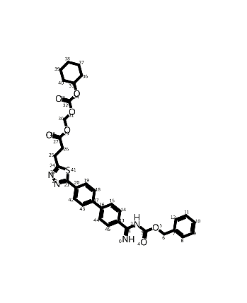 N=C(NC(=O)OCc1ccccc1)c1ccc(-c2ccc(-c3nnc(CCC(=O)OCOC(=O)OC4CCCCC4)s3)cc2)cc1